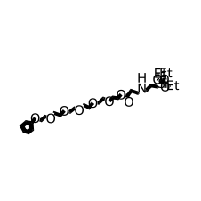 CCO[Si](CCCNCCC(=O)OCCOCCOCCOCCOCCOCCOc1ccccc1)(OCC)OCC